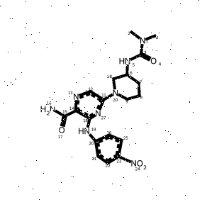 CN(C)C(=O)NC1CCCN(c2cnc(C(N)=O)c(Nc3ccc([N+](=O)[O-])cc3)n2)C1